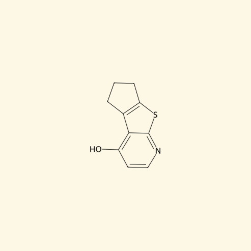 Oc1ccnc2sc3c(c12)CCC3